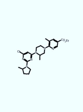 CCOC(=O)c1cnc(N2CCN(c3cc(Cl)nc(N4CCCC4C)n3)C(C)C2)c(C)c1